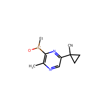 CC[S+]([O-])c1nc(C2(C#N)CC2)cnc1C